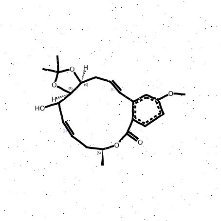 COc1ccc2c(c1)/C=C/C[C@@H]1OC(C)(C)O[C@@H]1C(O)/C=C\C[C@H](C)OC2=O